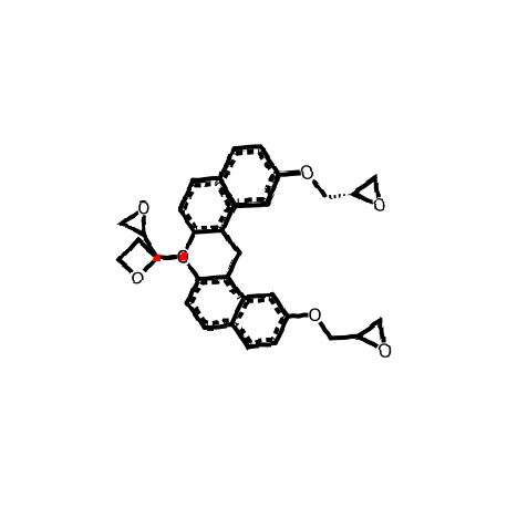 c1cc2ccc(OCC3CO3)c(Cc3c(OC4CCO4)ccc4ccc(OC[C@@H]5CO5)cc34)c2cc1OCC1CO1